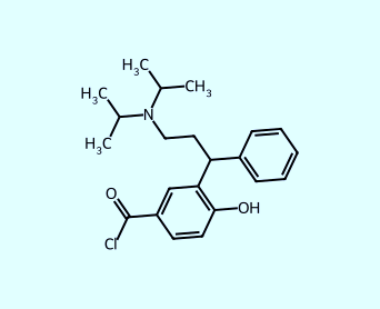 CC(C)N(CCC(c1ccccc1)c1cc(C(=O)Cl)ccc1O)C(C)C